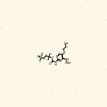 CCCCNc1nc(NC(=O)OC(C)(C)CCS(=O)(=O)Cl)ncc1OCCO